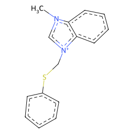 Cn1c[n+](CSc2ccccc2)c2ccccc21